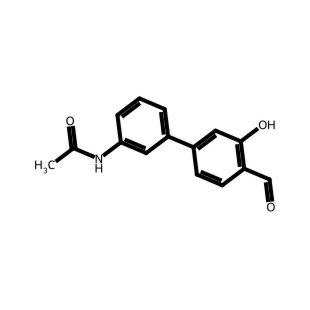 CC(=O)Nc1cccc(-c2ccc(C=O)c(O)c2)c1